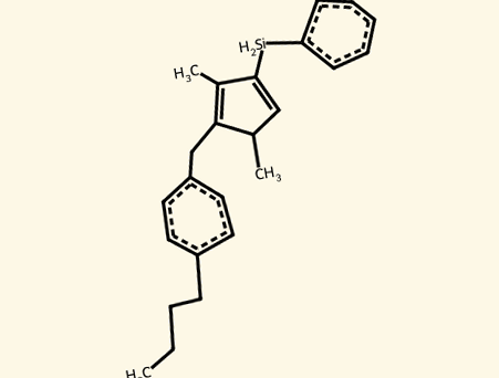 CCCCc1ccc(CC2=C(C)C([SiH2]c3ccccc3)=CC2C)cc1